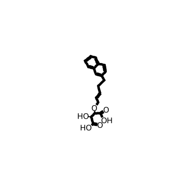 O=C(O)[C@H](O)[C@@H](OC/C=C/CCc1ccc2ccccc2c1)C(=O)O